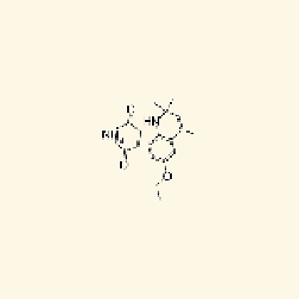 CCOc1ccc2c(c1)C(C)=CC(C)(C)N2.N.O=C1C=CC(=O)C=C1